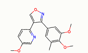 COc1ccc(-c2conc2-c2cc(C)c(OC)c(OC)c2)nc1